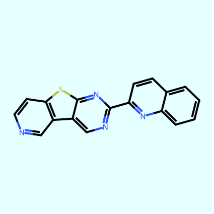 c1ccc2nc(-c3ncc4c(n3)sc3ccncc34)ccc2c1